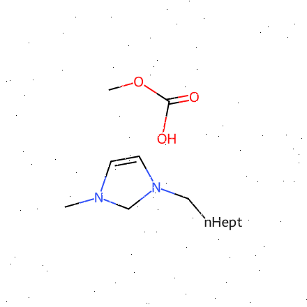 CCCCCCCCN1C=CN(C)C1.COC(=O)O